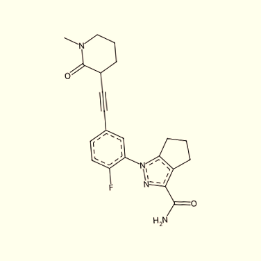 CN1CCCC(C#Cc2ccc(F)c(-n3nc(C(N)=O)c4c3CCC4)c2)C1=O